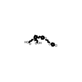 O=C(O)CCCn1cc(CC(=O)O)c2c(/C=C/c3ccc(OCCCCOc4ccc(Cl)cc4)cc3)cccc21